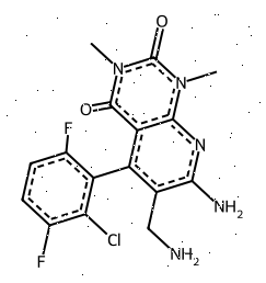 Cn1c(=O)c2c(-c3c(F)ccc(F)c3Cl)c(CN)c(N)nc2n(C)c1=O